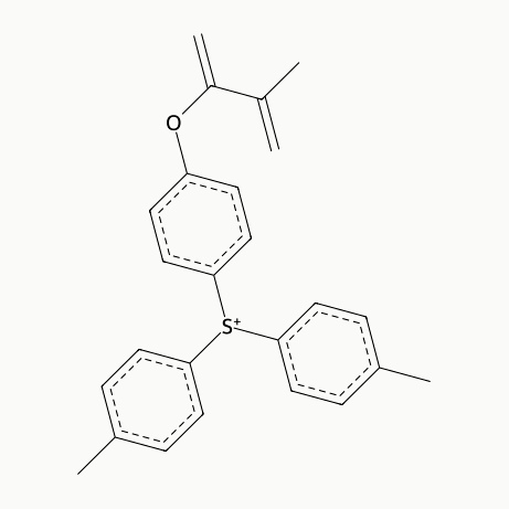 C=C(C)C(=C)Oc1ccc([S+](c2ccc(C)cc2)c2ccc(C)cc2)cc1